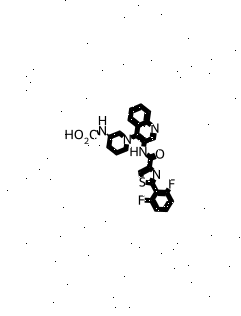 O=C(O)N[C@H]1CCCN(c2c(NC(=O)c3csc(-c4c(F)cccc4F)n3)cnc3ccccc23)C1